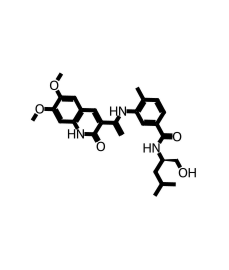 C=C(Nc1cc(C(=O)N[C@@H](CO)CC(C)C)ccc1C)c1cc2cc(OC)c(OC)cc2[nH]c1=O